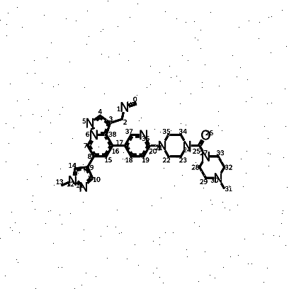 C=NCc1cnn2cc(-c3cnn(C)c3)cc(-c3ccc(N4CCN(C(=O)N5CCN(C)CC5)CC4)nc3)c12